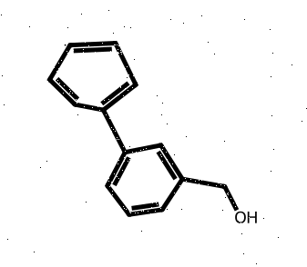 OCc1cccc(-c2cc[c]cc2)c1